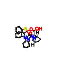 CN(Cc1csc2ccccc12)C(=O)N1[C@H]2CC[C@@H]1[C@@H](C(=O)O)N(C(=O)N(c1ccccc1)c1ccccc1)C2